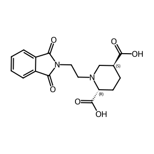 O=C(O)[C@H]1CC[C@H](C(=O)O)N(CCN2C(=O)c3ccccc3C2=O)C1